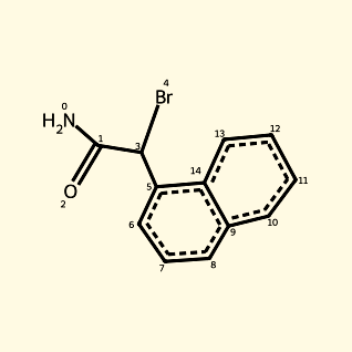 NC(=O)C(Br)c1cccc2ccccc12